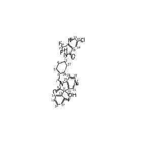 O=C(N[C@H]1CC[C@H](CN2C(=O)C(O)(c3ccccc3F)c3cnccc32)CC1)c1cc(Cl)cnc1C(F)F